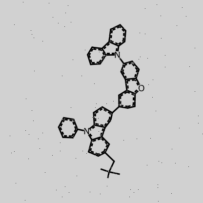 CC(C)(C)Cc1ccc2c(c1)c1cc(-c3ccc4oc5ccc(-n6c7ccccc7c7ccccc76)cc5c4c3)ccc1n2-c1ccccc1